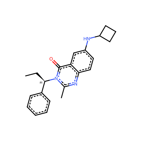 CC[C@H](c1ccccc1)n1c(C)nc2ccc(NC3CCC3)cc2c1=O